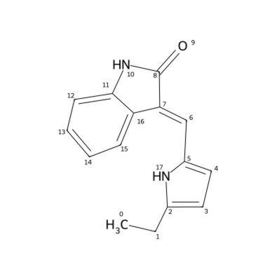 CCc1ccc(/C=C2/C(=O)Nc3ccccc32)[nH]1